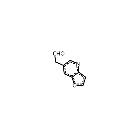 O=CCc1cnc2ccoc2c1